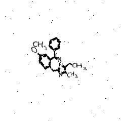 CCc1c(C)nc2n1N=C(c1ccccc1)c1cc(OC)ccc1C2